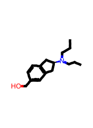 CCCN(CCC)[C@@H]1Cc2ccc(CO)cc2C1